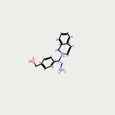 NC[C@H](c1ccc(CO)cc1)N1C=Cc2ccccc2C1